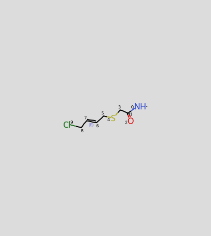 [NH]C(=O)CSC/C=C/CCl